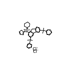 CC(C)(c1ccccc1)c1ccc2c(c1)-c1cc(C(C)(C)c3ccccc3)c[c]([Ti+2]([C]3=CC=CC3)=[C]3CCCCC3)c1C2.[Cl-].[Cl-]